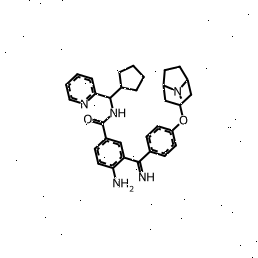 CN1C2CCC1CC(Oc1ccc(C(=N)c3cc(C(=O)NC(c4ccccn4)C4CCCC4)ccc3N)cc1)C2